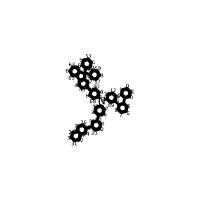 c1ccc(-c2ccccc2-c2cccc(N(c3ccc(-c4cccc(-c5ccc6ccccc6c5)c4)cc3)c3ccc(-c4ccc5c(c4)C(c4ccccc4)(c4ccccc4)c4ccccc4-5)cc3)c2)cc1